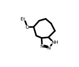 CCOC1CCCCC2NN=NC2C1